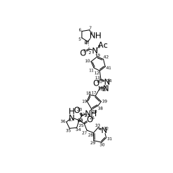 CC(=O)N(C(=O)[C@@H]1CCCN1)c1ccc(-c2nnc(-c3ccc(NC(=O)[C@@]4(C(=O)Cc5cccnc5)CCCN4)cc3)o2)cc1